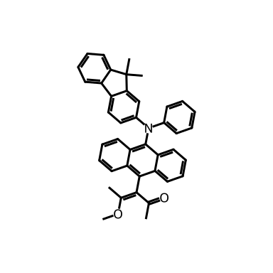 CO/C(C)=C(\C(C)=O)c1c2ccccc2c(N(c2ccccc2)c2ccc3c(c2)C(C)(C)c2ccccc2-3)c2ccccc12